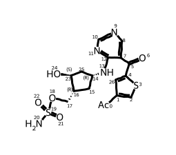 CC(=O)c1csc(C(=O)c2cncnc2N[C@@H]2C[C@H](COS(N)(=O)=O)[C@@H](O)C2)c1